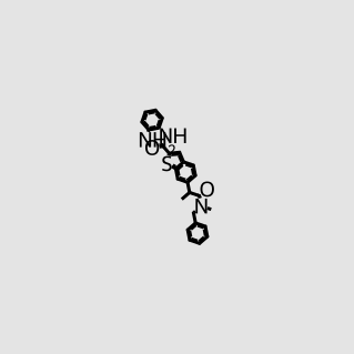 CC(C(=O)N(C)Cc1ccccc1)c1ccc2cc(C(=O)Nc3ccccc3N)sc2c1